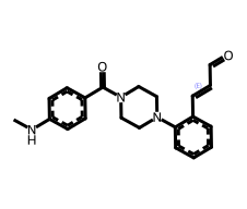 CNc1ccc(C(=O)N2CCN(c3ccccc3/C=C/C=O)CC2)cc1